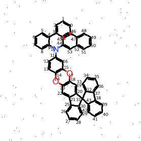 c1ccc(-c2ccccc2N(c2ccc3c(c2)Oc2cc4c(cc2O3)-c2ccccc2C42c3ccccc3-c3ccccc32)c2ccc3ccccc3c2)cc1